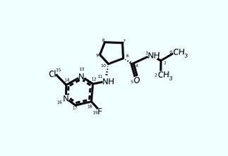 CC(C)NC(=O)[C@H]1CCC[C@H]1Nc1nc(Cl)ncc1F